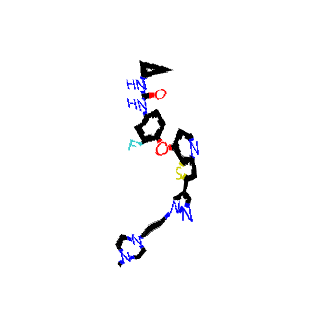 CN1CCN(CCn2cc(-c3cc4nccc(Oc5ccc(NC(=O)NC6CC6)cc5F)c4s3)cn2)CC1